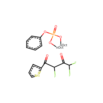 CCCCCCCCOP(=O)(OCCCCCCCC)Oc1ccccc1.O=C(c1cccs1)C(F)C(=O)C(F)F